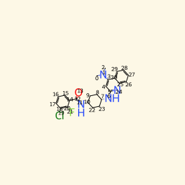 CN(C)c1cc(N[C@H]2CC[C@@H](NC(=O)c3cccc(Cl)c3F)CC2)nc2ccccc12